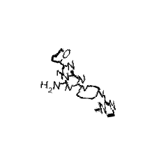 Cn1ccnc1CN1CCCN(c2nc(N)n3nc(-c4ccco4)nc3n2)CC1